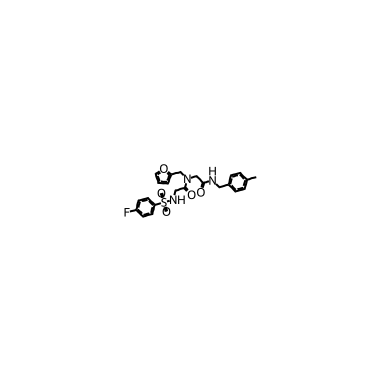 Cc1ccc(CNC(=O)CN(Cc2ccco2)C(=O)CNS(=O)(=O)c2ccc(F)cc2)cc1